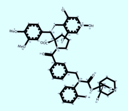 COc1ccc([C@H](Cc2c(Cl)c[n+](O)cc2Cl)[C@]2(C(=O)[O-])CCCN2C(=O)c2cccc(CN(C(=O)O[C@H]3CN4CCC3CC4)c3ccccc3F)c2)cc1OC